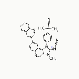 Cn1/c(=N/C#N)n(-c2ccc(C(C)(C)C#N)cc2)c2c3cc(-c4cnc5ccccc5c4)ccc3ncc21